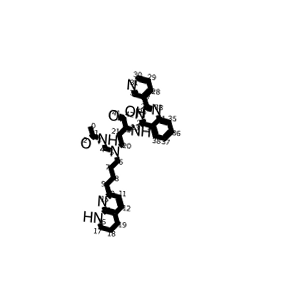 CC(=O)NCN(CCCCc1ccc2c(n1)NCCC2)CCC(Nc1nc(-c2cccnc2)nc2ccccc12)C(=O)O